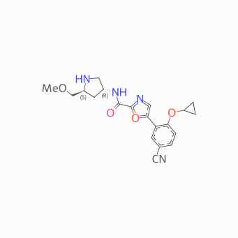 COC[C@@H]1C[C@@H](NC(=O)c2ncc(-c3cc(C#N)ccc3OC3CC3)o2)CN1